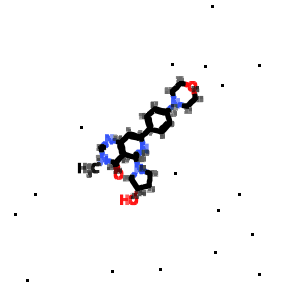 Cn1cnc2cc(-c3ccc(N4CCOCC4)cc3)nc(N3CC[C@H](O)C3)c2c1=O